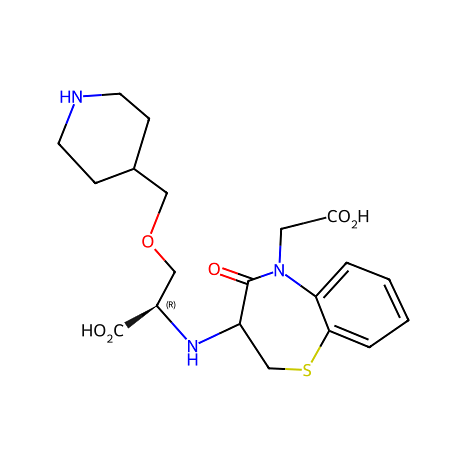 O=C(O)CN1C(=O)C(N[C@H](COCC2CCNCC2)C(=O)O)CSc2ccccc21